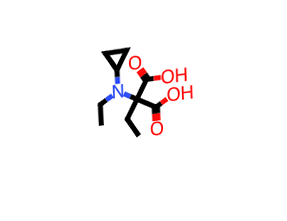 CCN(C1CC1)C(CC)(C(=O)O)C(=O)O